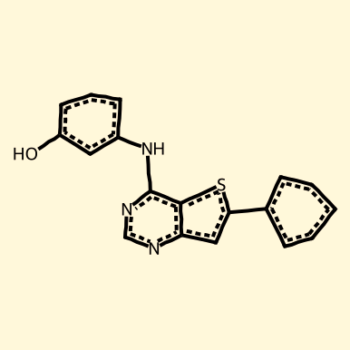 Oc1cccc(Nc2ncnc3cc(-c4ccccc4)sc23)c1